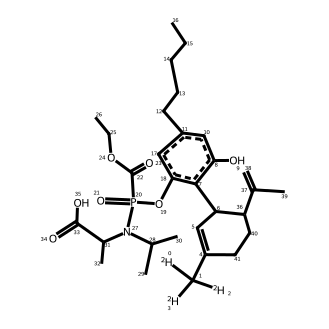 [2H]C([2H])([2H])C1=CC(c2c(O)cc(CCCCC)cc2OP(=O)(C(=O)OCC)N(C(C)C)C(C)C(=O)O)C(C(=C)C)CC1